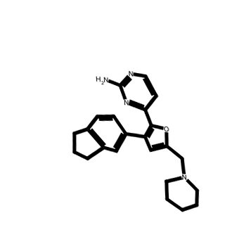 Nc1nccc(-c2oc(CN3CCCCC3)cc2-c2ccc3c(c2)CCC3)n1